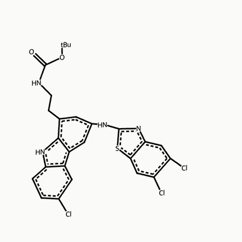 CC(C)(C)OC(=O)NCCc1cc(Nc2nc3cc(Cl)c(Cl)cc3s2)cc2c1[nH]c1ccc(Cl)cc12